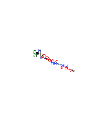 CCCOCCOCCOCCNC(=O)NCCCCNC(=O)NCCOCCOCCOCCNS(=O)(=O)c1ccc(C2CN(C)Cc3c(Cl)cc(Cl)cc32)cc1